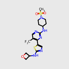 CS(=O)(=O)N1CCC(Nc2ncc(C(F)(F)F)c(-c3cnc(NC4COC4)s3)n2)CC1